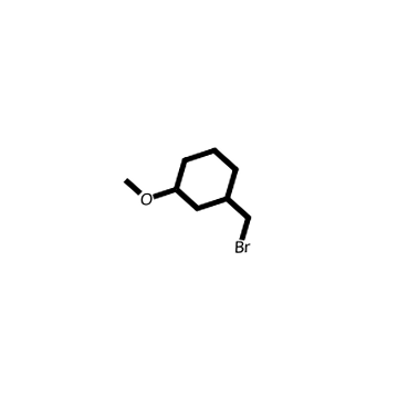 COC1CCCC(CBr)C1